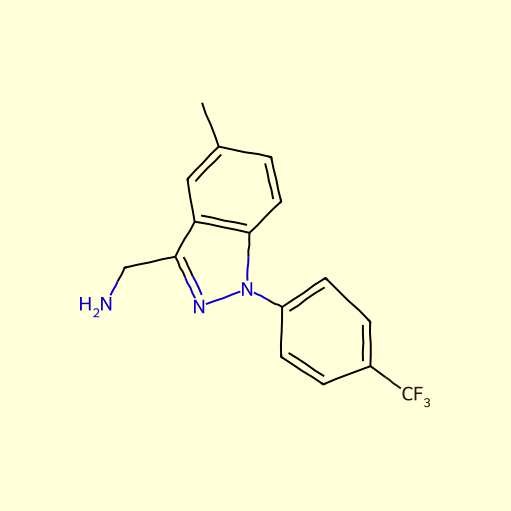 Cc1ccc2c(c1)c(CN)nn2-c1ccc(C(F)(F)F)cc1